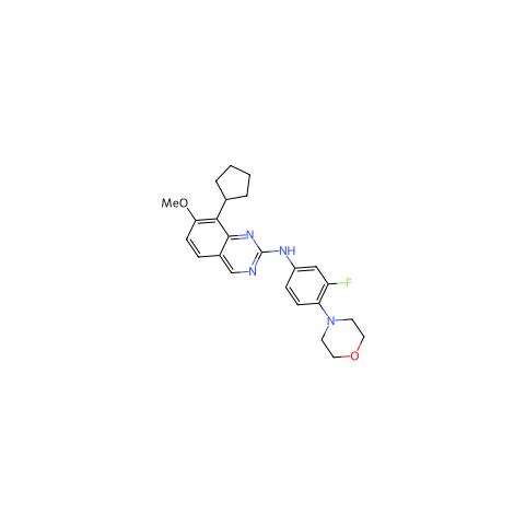 COc1ccc2cnc(Nc3ccc(N4CCOCC4)c(F)c3)nc2c1C1CCCC1